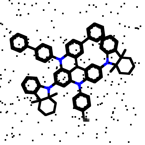 CC(C)(C)c1ccc(N2c3ccc(N4c5ccccc5C5(C)CCCCC45C)cc3B3c4cc(-c5ccccc5)ccc4N(c4ccc(-c5ccccc5)cc4)c4cc(N5c6ccccc6C6(C)CCCCC56C)cc2c43)cc1